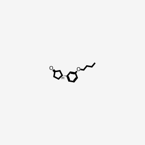 CCCCOc1cccc([C@@H]2CCC(=O)C2)c1